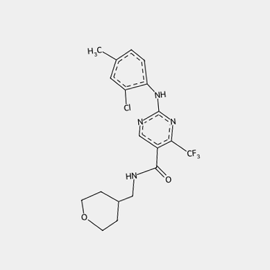 Cc1ccc(Nc2ncc(C(=O)NCC3CCOCC3)c(C(F)(F)F)n2)c(Cl)c1